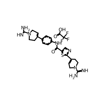 N=C(N)N1CC=C(c2ccc(NC(=O)c3cnc(C4=CCN(C(=N)N)CC4)s3)cc2)CC1.O=C(O)C(F)(F)F